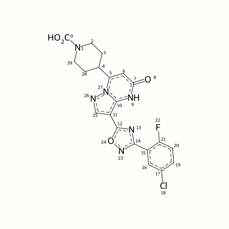 O=C(O)N1CCC(c2cc(=O)[nH]c3c(-c4nc(-c5cc(Cl)ccc5F)no4)cnn23)CC1